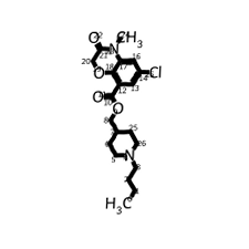 CCCCN1CCC(COC(=O)c2cc(Cl)cc3c2OCC(=O)N3C)CC1